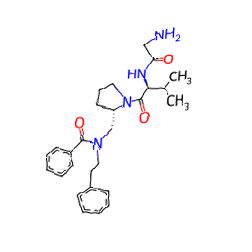 CC(C)[C@H](NC(=O)CN)C(=O)N1CCC[C@H]1CN(CCc1ccccc1)C(=O)c1ccccc1